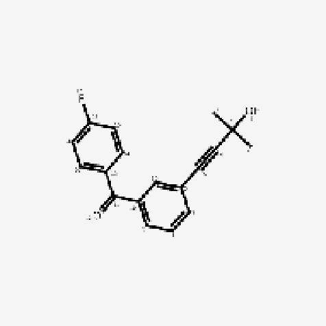 CC(C)(O)C#Cc1cccc(C(=O)c2ccc(F)cc2)c1